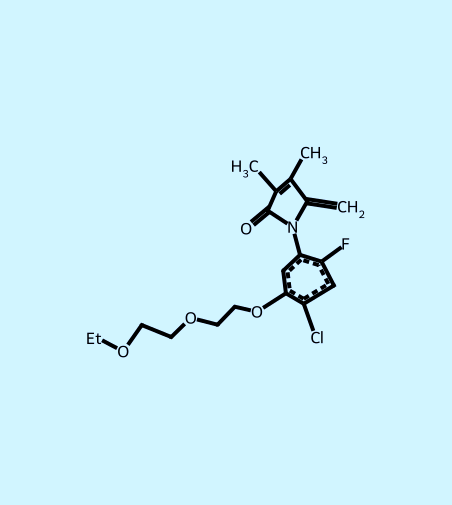 C=C1C(C)=C(C)C(=O)N1c1cc(OCCOCCOCC)c(Cl)cc1F